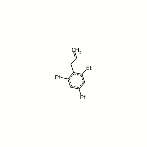 C=CCc1c(CC)cc(CC)cc1CC